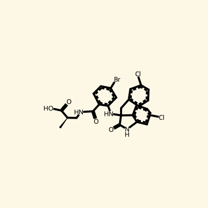 C[C@H](CNC(=O)c1ccc(Br)cc1NC1(Cc2cccc(Cl)c2)C(=O)Nc2cc(Cl)ccc21)C(=O)O